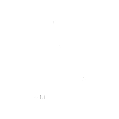 CC(=O)NCCC(=O)c1ccc(Cl)s1